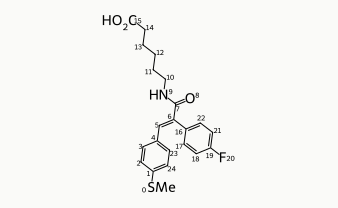 CSc1ccc(/C=C(/C(=O)NCCCCCC(=O)O)c2ccc(F)cc2)cc1